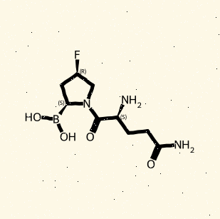 NC(=O)CC[C@H](N)C(=O)N1C[C@H](F)C[C@@H]1B(O)O